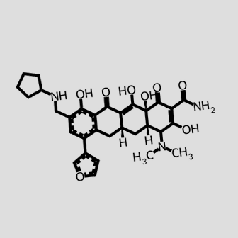 CN(C)C1C(O)=C(C(N)=O)C(=O)[C@@]2(O)C(O)=C3C(=O)c4c(O)c(CNC5CCCC5)cc(-c5ccoc5)c4C[C@H]3C[C@@H]12